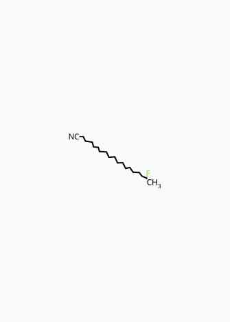 CC(F)CCCCCCCCCCCCCCCCC#N